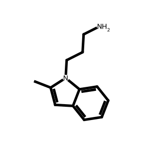 Cc1cc2ccccc2n1CCCN